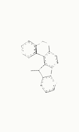 CC1c2cccnc2-c2ccc3c(c21)-c1cnccc1CO3